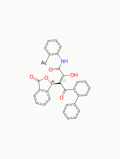 CC(=O)c1ccccc1NC(=O)/C(O)=C(/C(=O)c1ccccc1-c1ccccc1)[C@@H]1OC(=O)c2ccccc21